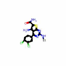 CCNc1nc(-c2ccc(Cl)c(Cl)c2)c2c(N)c(C(N)=O)sc2n1